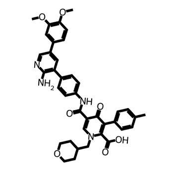 COc1ccc(-c2cnc(N)c(-c3ccc(NC(=O)c4cn(CC5CCOCC5)c(C(=O)O)c(-c5ccc(C)cc5)c4=O)cc3)c2)cc1OC